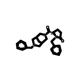 O=C([C@@H]1CCC(=O)N1Cc1ccccc1)N1CC2CC(CN(Cc3ccccc3)C2)C1